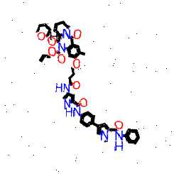 C=CCOC(=O)N1c2cc(OCCCC(=O)Nc3cc(C(=O)Nc4ccc(-c5cc(C(=O)Nc6ccccc6)n(C)c5)cc4)n(C)c3)c(C)cc2C(=O)N2CCCC[C@H]2C1OC1CCCCO1